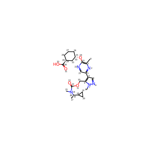 Cc1nc(-c2cnn(C)c2COC(=O)N(C)[C@H](C)C2CC2)cnc1O[C@H]1CCC[C@H](C(=O)O)C1